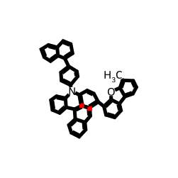 Cc1cccc2c1oc1c(-c3ccc(N(c4ccc(-c5cccc6ccccc56)cc4)c4ccccc4-c4cccc5ccccc45)cc3)cccc12